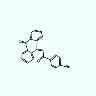 O=C(C=C1c2ccccc2C(=O)c2ccccc21)c1ccc(Br)cc1